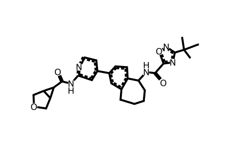 CC(C)(C)c1noc(C(=O)NC2CCCCc3cc(-c4ccnc(NC(=O)C5C6COCC65)c4)ccc32)n1